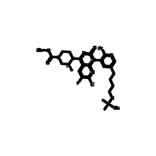 CC(C)c1ncc(CCCCO[Si](C)(C)C(C)(C)C)cc1-n1c(=O)nc(N2CCN(C(=O)OC(C)(C)C)C[C@@H]2C)c2cc(F)c(Cl)nc21